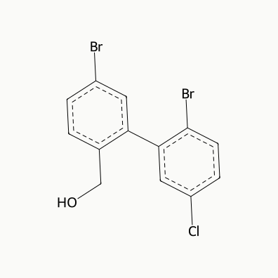 OCc1ccc(Br)cc1-c1cc(Cl)ccc1Br